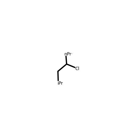 CC[CH]C(Cl)CC(C)C